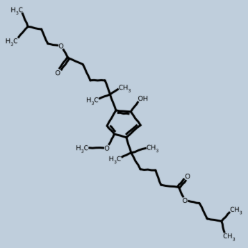 COc1cc(C(C)(C)CCCC(=O)OCCC(C)C)c(O)cc1C(C)(C)CCCC(=O)OCCC(C)C